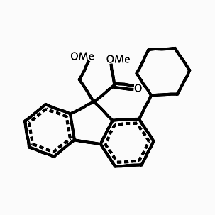 COCC1(C(=O)OC)c2ccccc2-c2cccc(C3CCCCC3)c21